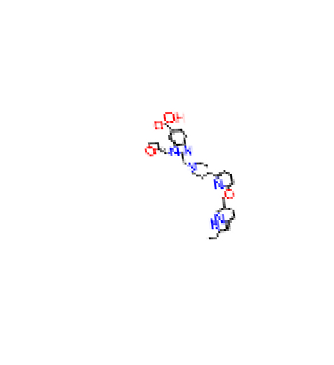 CCc1cc2ccc(COc3cccc(C4CCN(Cc5nc6ccc(C(=O)O)cc6n5C[C@@H]5CCO5)CC4)n3)cn2n1